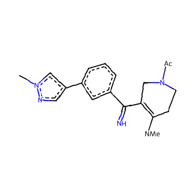 CNC1=C(C(=N)c2cccc(-c3cnn(C)c3)c2)CN(C(C)=O)CC1